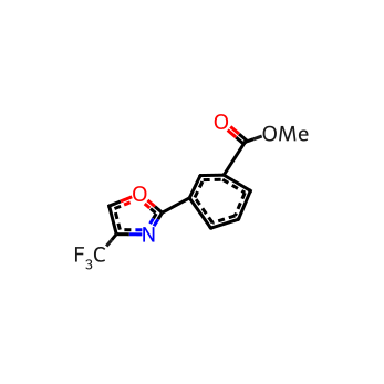 COC(=O)c1cccc(-c2nc(C(F)(F)F)co2)c1